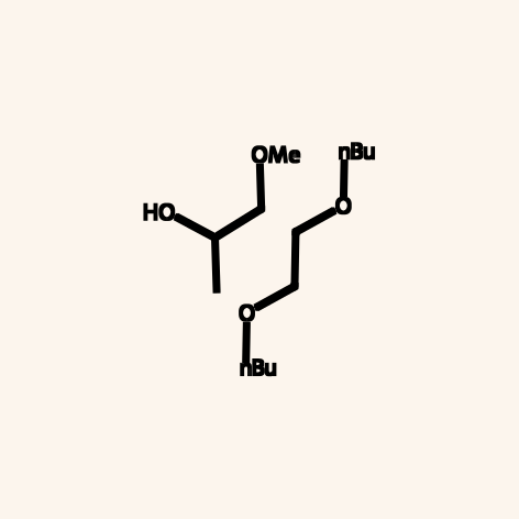 CCCCOCCOCCCC.COCC(C)O